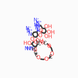 [N-]=[N+]=NCC1O[C@H](O[C@@H]2C(N=[N+]=[N-])C[C@@H](N=[N+]=[N-])C(OC3O[C@@H]4COCCOCCOCCOCCOCCO[C@H]4C(N=[N+]=[N-])[C@H]3O)[C@H]2O)C(O)[C@@H](O)[C@@H]1O